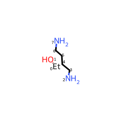 CCO.NCCCCN